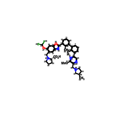 COc1nc(-c2cccc(-c3cccc(-c4nc5cc(CN6CCC[C@H]6C(=O)O)c(OC(F)F)cc5o4)c3C)c2C)cnc1CN1CC[C@@H](C)C1